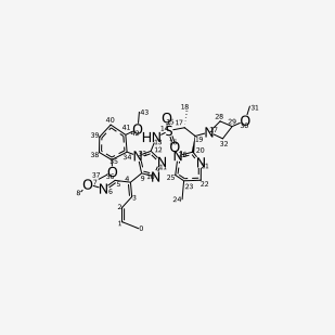 C\C=C/C=C(\C=N\OC)c1nnc(NS(=O)(=O)[C@H](C)[C@H](c2ncc(C)cn2)N2CC(OC)C2)n1-c1c(OC)cccc1OC